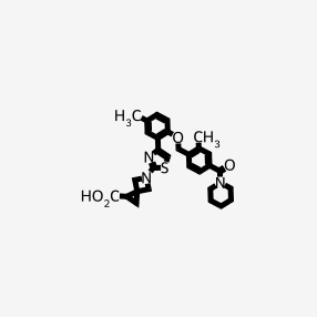 Cc1ccc(OCc2ccc(C(=O)N3CCCCC3)cc2C)c(-c2csc(N3CC4(CC4C(=O)O)C3)n2)c1